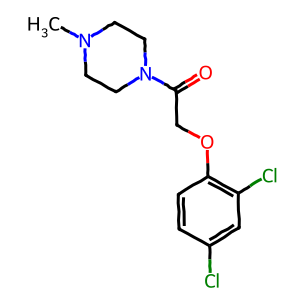 CN1CCN(C(=O)COc2ccc(Cl)cc2Cl)CC1